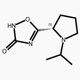 CC(C)N1CCC[C@H]1c1nc(=O)[nH]o1